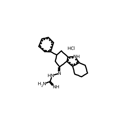 Cl.N=C(N)NN=C1CC(c2ccccc2)Cc2[nH]c3c(c21)CCCC3